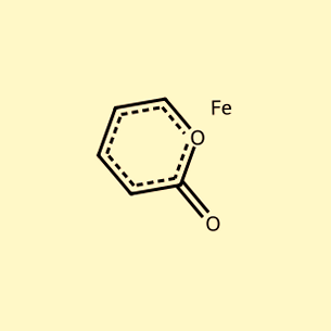 O=c1cccco1.[Fe]